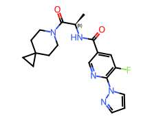 C[C@@H](NC(=O)c1cnc(-n2cccn2)c(F)c1)C(=O)N1CCC2(CC1)CC2